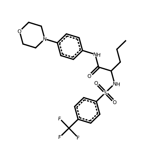 CCCC(NS(=O)(=O)c1ccc(C(F)(F)F)cc1)C(=O)Nc1ccc(N2CCOCC2)cc1